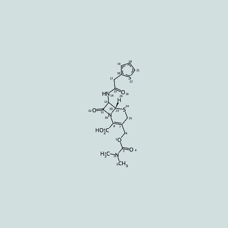 CN(C)C(=O)OCC1=C(C(=O)O)N2C(=O)C(NC(=O)Cc3cccs3)[C@@H]2SC1